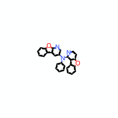 c1ccc(N(c2cnc3oc4ccccc4c3c2)c2nccc3oc4ccccc4c23)cc1